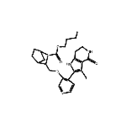 CCCCOC(=O)N1C2CCC(C2)C1COc1cnccc1-c1[nH]c2c(c1I)C(=O)NCC2